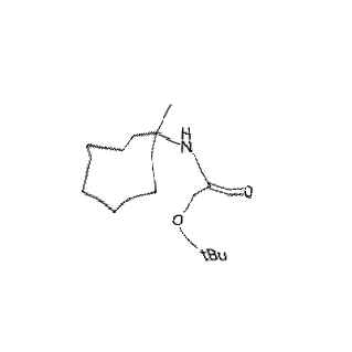 CC1(NC(=O)OC(C)(C)C)CCCCC1